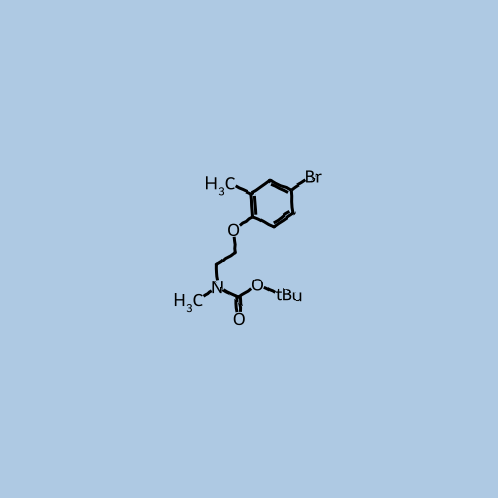 Cc1cc(Br)ccc1OCCN(C)C(=O)OC(C)(C)C